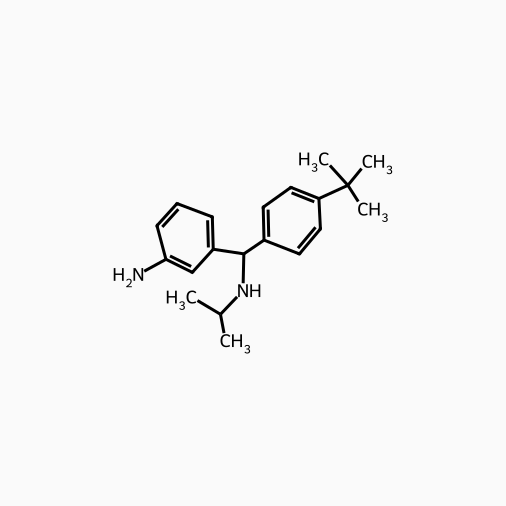 CC(C)NC(c1ccc(C(C)(C)C)cc1)c1cccc(N)c1